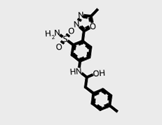 Cc1ccc(CC(O)Nc2ccc(-c3nnc(C)o3)c(S(N)(=O)=O)c2)cc1